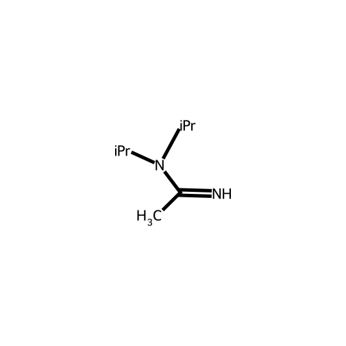 CC(=N)N(C(C)C)C(C)C